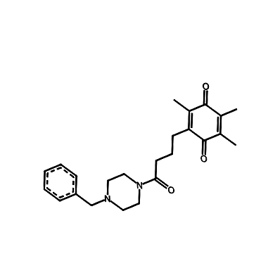 CC1=C(C)C(=O)C(CCCC(=O)N2CCN(Cc3ccccc3)CC2)=C(C)C1=O